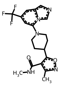 CNC(=O)c1c(C)noc1C1CCN(c2cc(C(F)(F)F)cc3cncn23)CC1